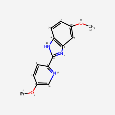 CC(C)Oc1ccc(-c2nc3cc(OC(F)(F)F)ccc3[nH]2)nc1